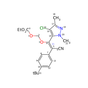 CCOC(=O)OCO/C(=C(/C#N)c1ccc(C(C)(C)C)cc1)c1c(Cl)c(C)nn1C